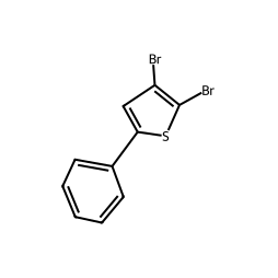 Brc1cc(-c2ccccc2)sc1Br